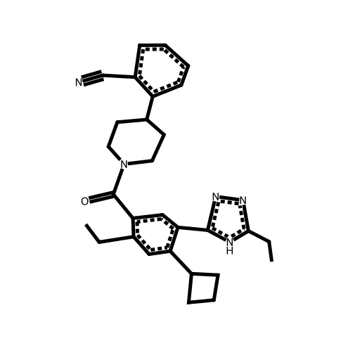 CCc1nnc(-c2cc(C(=O)N3CCC(c4ccccc4C#N)CC3)c(CC)cc2C2CCC2)[nH]1